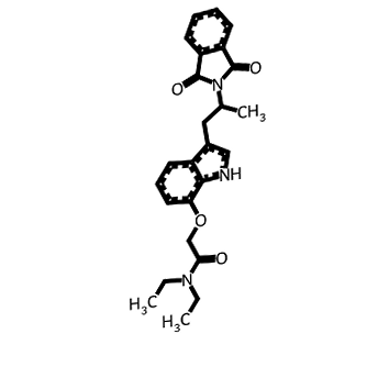 CCN(CC)C(=O)COc1cccc2c(CC(C)N3C(=O)c4ccccc4C3=O)c[nH]c12